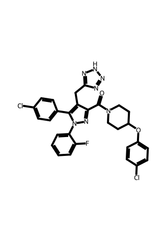 O=C(c1nn(-c2ccccc2F)c(-c2ccc(Cl)cc2)c1Cc1nn[nH]n1)N1CCC(Oc2ccc(Cl)cc2)CC1